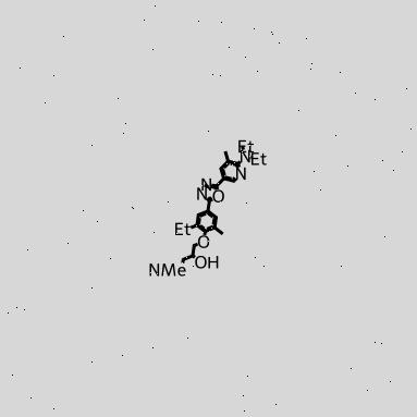 CCc1cc(-c2nnc(-c3cnc(N(CC)CC)c(C)c3)o2)cc(C)c1OCC(O)CNC